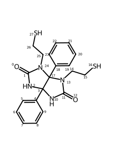 O=C1NC2(c3ccccc3)NC(=O)N(CCS)C2(c2ccccc2)N1CCS